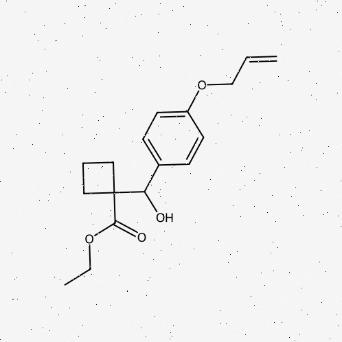 C=CCOc1ccc(C(O)C2(C(=O)OCC)CCC2)cc1